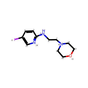 Ic1ccc(NCCN2CCOCC2)nc1